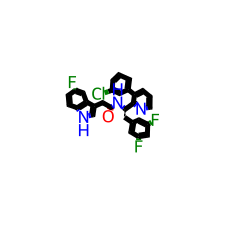 O=C(Cc1c[nH]c2ccc(F)cc12)N[C@@H](Cc1cc(F)cc(F)c1)c1ncccc1-c1cccc(Cl)c1